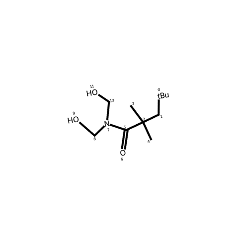 CC(C)(C)CC(C)(C)C(=O)N(CO)CO